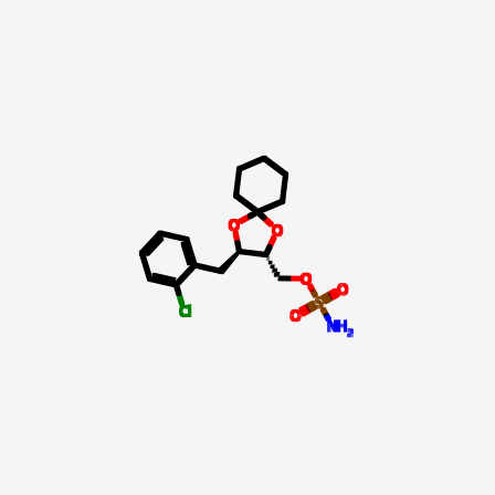 NS(=O)(=O)OC[C@H]1OC2(CCCCC2)O[C@@H]1Cc1ccccc1Cl